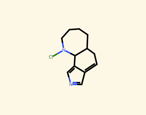 ClN1CCCCC2CC=C3C=NC=C3C21